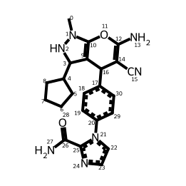 CN1NC(C2CCCC2)C2=C1OC(N)=C(C#N)C2c1ccc(-n2ccnc2C(N)=O)cc1